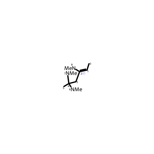 C/C=C(/CC(C)(NC)NC)NC